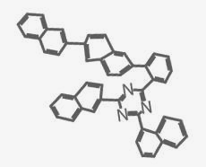 c1ccc(-c2nc(-c3ccc4ccccc4c3)nc(-c3cccc4ccccc34)n2)c(-c2ccc3cc(-c4ccc5ccccc5c4)ccc3c2)c1